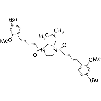 COc1cc(C(C)(C)C)ccc1/C=C/C=C/C(=O)N1CCN(C(=O)/C=C/C=C/c2ccc(C(C)(C)C)cc2OC)C(CN(C)C)C1